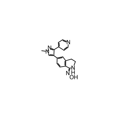 Cn1cc(-c2ccc3c(c2)CCN/C3=N\O)c(-c2ccncc2)n1